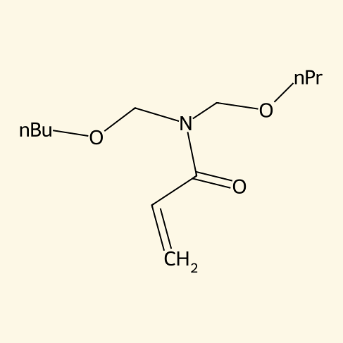 C=CC(=O)N(COCCC)COCCCC